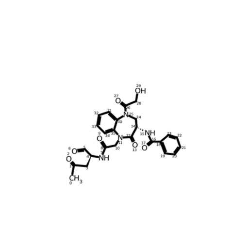 CC(=O)C[C@@H](C=O)NC(=O)CN1C(=O)[C@@H](NC(=O)c2ccccc2)CN(C(=O)CO)c2ccccc21